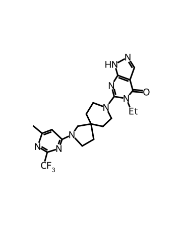 CCn1c(N2CCC3(CCN(c4cc(C)nc(C(F)(F)F)n4)C3)CC2)nc2[nH]ncc2c1=O